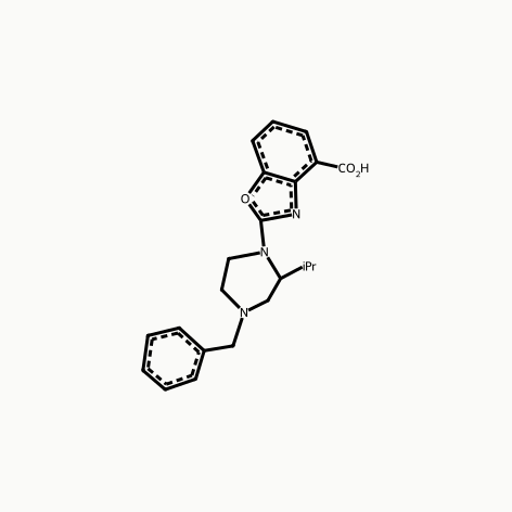 CC(C)C1CN(Cc2ccccc2)CCN1c1nc2c(C(=O)O)cccc2o1